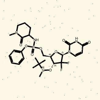 CN1CCCC(NP(=O)(OC[C@H]2O[C@@H](n3ccc(=O)[nH]c3=O)C(F)(F)[C@@H]2O[SiH](C)C(C)(C)C)Oc2ccccc2)C1=O